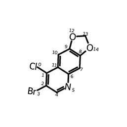 Clc1c(Br)cnc2cc3c(cc12)OCO3